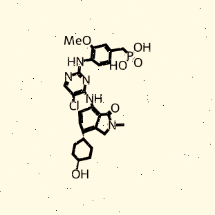 COc1cc(CP(=O)(O)O)ccc1Nc1ncc(Cl)c(Nc2ccc([C@H]3CC[C@H](O)CC3)c3c2C(=O)N(C)C3)n1